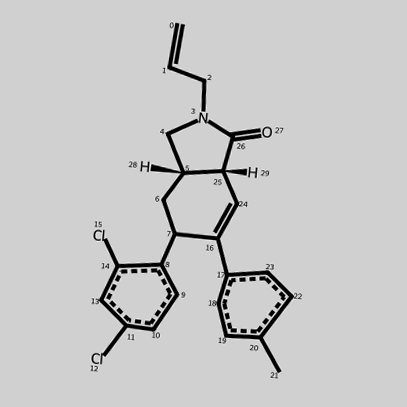 C=CCN1C[C@H]2CC(c3ccc(Cl)cc3Cl)C(c3ccc(C)cc3)=C[C@H]2C1=O